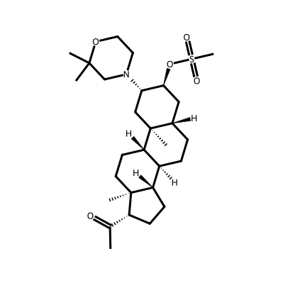 CC(=O)[C@H]1CC[C@H]2[C@@H]3CC[C@H]4C[C@H](OS(C)(=O)=O)[C@@H](N5CCOC(C)(C)C5)C[C@]4(C)[C@H]3CC[C@]12C